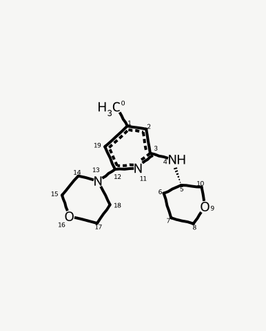 Cc1cc(N[C@H]2CCCOC2)nc(N2CCOCC2)c1